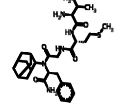 CSCC[C@@H](NC(=O)[C@@H](N)C(C)C)C(=O)NCC(=O)N(C1C2CC3CC(C2)CC1C3)[C@@H](Cc1ccccc1)C(N)=O